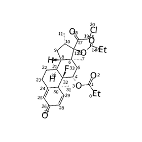 CCC(=O)O[C@H]1C[C@@]2(C)[C@@H](C[C@H](C)[C@]2(OC(=O)CC)C(=O)CCl)[C@@H]2CCC3=CC(=O)C=C[C@]3(C)[C@@]12F